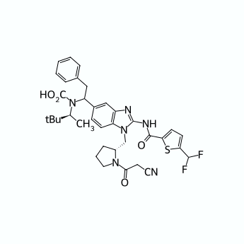 C[C@H](N(C(=O)O)C(Cc1ccccc1)c1ccc2c(c1)nc(NC(=O)c1ccc(C(F)F)s1)n2C[C@H]1CCCN1C(=O)CC#N)C(C)(C)C